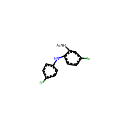 CC(=O)Nc1cc(Br)ccc1Nc1ccc(Br)cc1